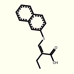 CCC(=CSc1ccc2ccccc2c1)C(=O)O